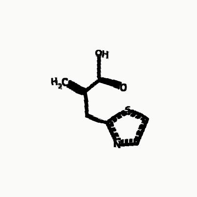 C=C(Cc1nccs1)C(=O)O